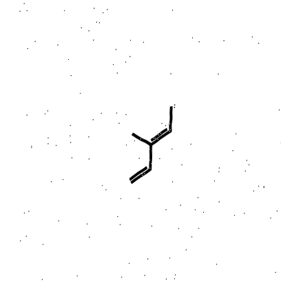 [CH]/C=C(\C)C=C